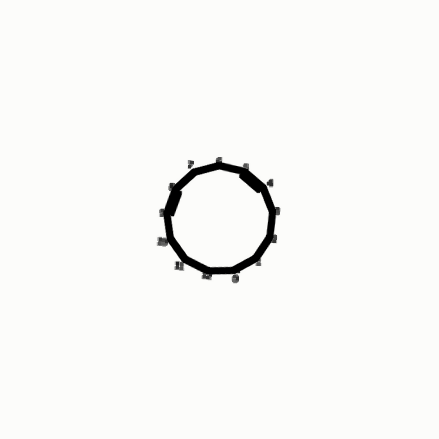 [CH]1CCCC=CCCC=CCCC1